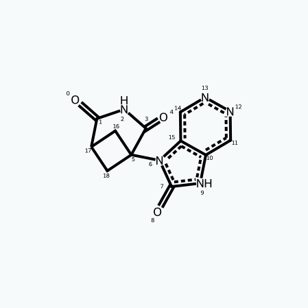 O=C1NC(=O)C2(n3c(=O)[nH]c4cnncc43)CC1C2